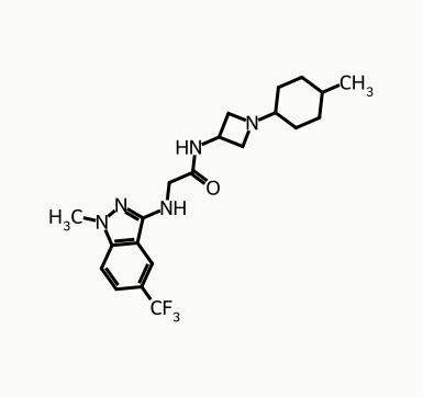 CC1CCC(N2CC(NC(=O)CNc3nn(C)c4ccc(C(F)(F)F)cc34)C2)CC1